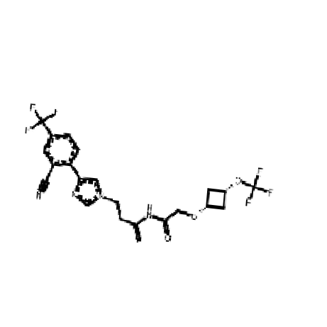 C=C(CCn1cnc(-c2ccc(C(F)(F)F)cc2C#N)c1)NC(=O)CO[C@H]1C[C@@H](OC(F)(F)F)C1